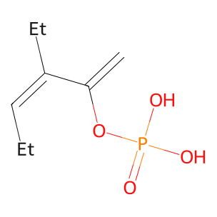 C=C(OP(=O)(O)O)C(=CCC)CC